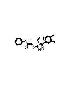 CCn1c(SCC(=O)Nc2ccccc2)nnc1-c1cc(C)c(C)cn1